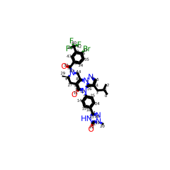 CC(C)Cc1cnn2c3c(c(=O)n(-c4ccc(-c5nn(C)c(=O)[nH]5)cc4)c12)C[C@@H](C)N(C(=O)c1ccc(Br)c(C(F)(F)F)c1)C3